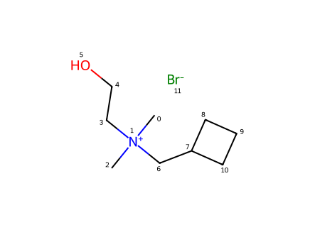 C[N+](C)(CCO)CC1CCC1.[Br-]